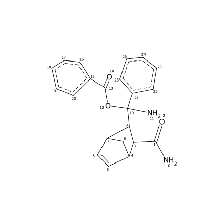 NC(=O)C1C2C=CC(C2)C1C(N)(OC(=O)c1ccccc1)c1ccccc1